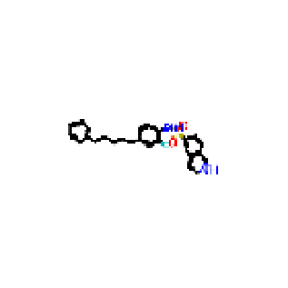 O=S(=O)(Nc1ccc(CCCCCc2ccccc2)cc1F)c1ccc2c(c1)CCNC2